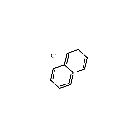 C1=CC=CC2=CCC=C[N+]=12.[Cl-]